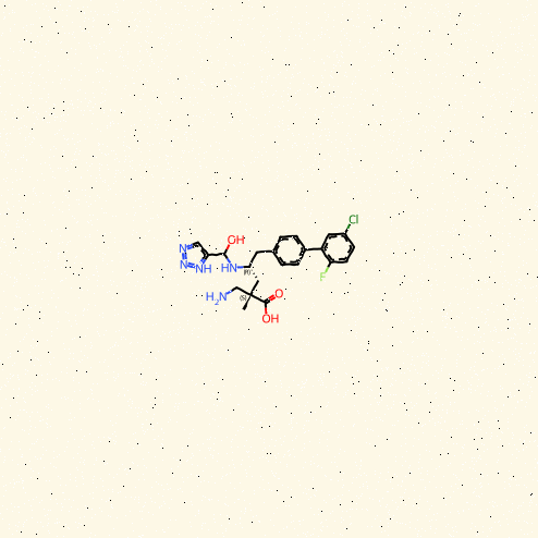 C[C@@](CN)(C[C@@H](Cc1ccc(-c2cc(Cl)ccc2F)cc1)NC(O)c1cnn[nH]1)C(=O)O